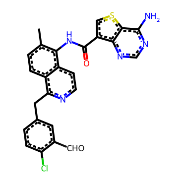 Cc1ccc2c(Cc3ccc(Cl)c(C=O)c3)nccc2c1NC(=O)c1csc2c(N)ncnc12